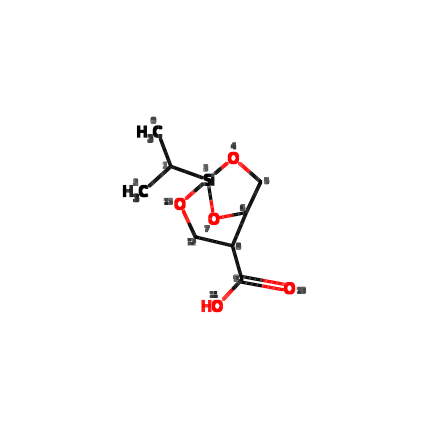 CC(C)[Si]12OCC(O1)C(C(=O)O)CO2